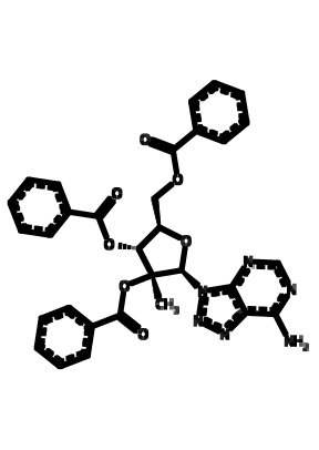 C[C@@]1(OC(=O)c2ccccc2)[C@H](OC(=O)c2ccccc2)[C@@H](COC(=O)c2ccccc2)O[C@H]1n1nnc2c(N)ncnc21